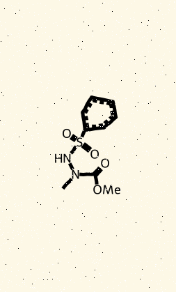 COC(=O)N(C)NS(=O)(=O)c1ccccc1